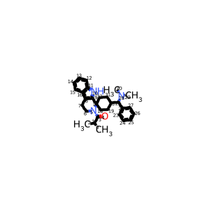 CC(C)C(=O)N1CCc2c([nH]c3ccccc23)C12CCC(C(c1ccccc1)N(C)C)CC2